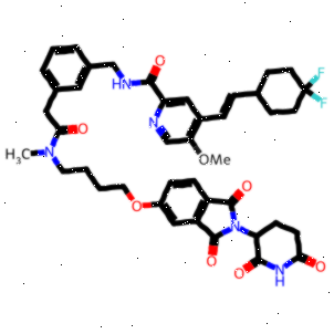 COc1cnc(C(=O)NCc2cccc(CC(=O)N(C)CCCCOc3ccc4c(c3)C(=O)N(C3CCC(=O)NC3=O)C4=O)c2)cc1/C=C/C1CCC(F)(F)CC1